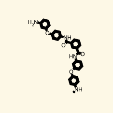 CNc1ccc(Oc2cccc(NC(=O)c3cccc(C(=O)Nc4ccc(Oc5cccc(N)c5)cc4)c3)c2)cc1